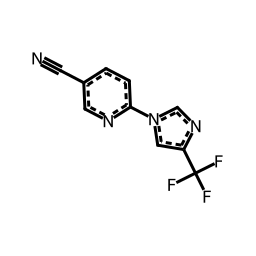 N#Cc1ccc(-n2cnc(C(F)(F)F)c2)nc1